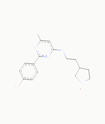 Cc1cc(NCCC2CC[NH+]([O-])C2)nc(-c2ccc(Br)cc2)n1